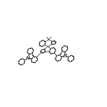 CC1(C)c2ccccc2C2(c3ccc(-c4cccc5c4c4ccccc4n5-c4ccccc4)cc3-c3cc(-c4cccc5c4c4ccccc4n5-c4ccccc4)ccc32)c2ccccc21